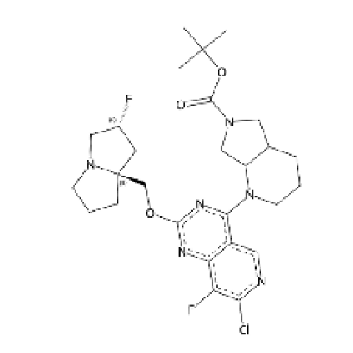 CC(C)(C)OC(=O)N1CC2CCCN(c3nc(OC[C@@]45CCCN4C[C@H](F)C5)nc4c(F)c(Cl)ncc34)C2C1